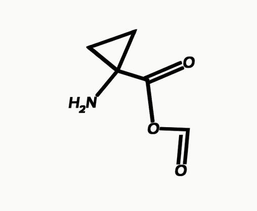 NC1(C(=O)OC=O)CC1